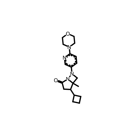 CC12CN(c3ccc(N4CCOCC4)nc3)N1C(=O)CC2C1CCC1